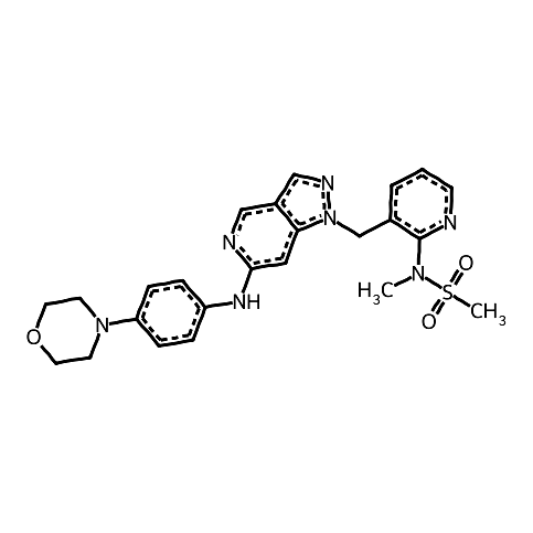 CN(c1ncccc1Cn1ncc2cnc(Nc3ccc(N4CCOCC4)cc3)cc21)S(C)(=O)=O